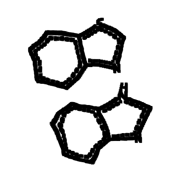 c1ccc2[nH]cnc2c1.c1ccc2scnc2c1